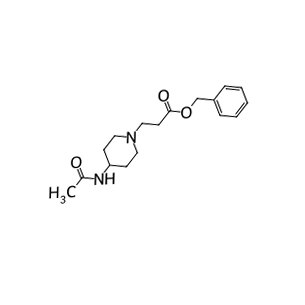 CC(=O)NC1CCN(CCC(=O)OCc2ccccc2)CC1